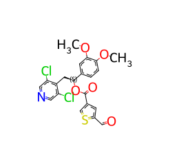 COc1ccc([C@H](Cc2c(Cl)cncc2Cl)OC(=O)c2csc(C=O)c2)cc1OC